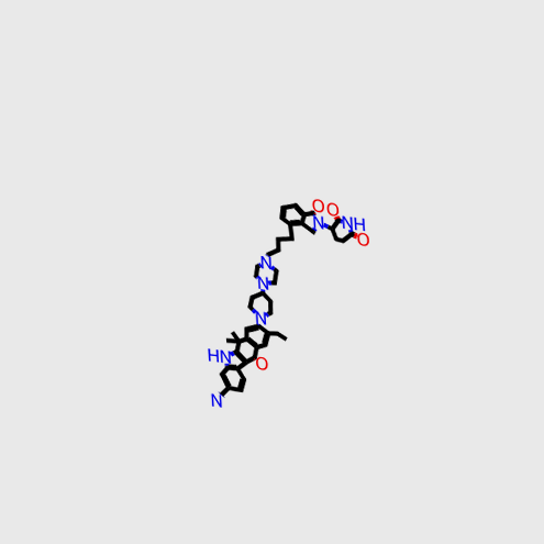 CCc1cc2c(cc1N1CCC(N3CCN(CCCCc4cccc5c4CN(C4CCC(=O)NC4=O)C5=O)CC3)CC1)C(C)(C)c1[nH]c3cc(C#N)ccc3c1C2=O